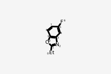 CCc1nc2cc(F)ccc2o1